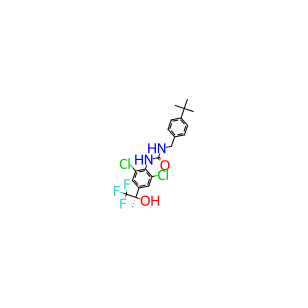 CC(C)(C)c1ccc(CNC(=O)Nc2c(Cl)cc([C@@](C)(O)C(F)(F)F)cc2Cl)cc1